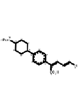 CCC=CC=C(C(=O)O)c1ccc(C2CCC(CCCCC)CC2)cc1